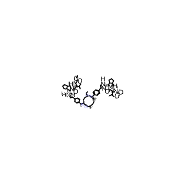 C/C=C1\C=C(\c2ccc(-c3c[nH]c([C@@H]4C5CCCC5CN4C(=O)[C@@H](NC(=O)OC)C(C)C)n3)cc2)[C@H](C)CC[C@@H](C)/C=C\C(=C(/C)c2ccc(-c3c[nH]c([C@@H]4C5CCCC5CN4C(=O)[C@@H](NC(=O)OC)C(C)C)n3)cc2)CC1